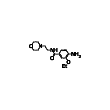 CCOc1cc(C(=O)NCCN2CCOCC2)ccc1N